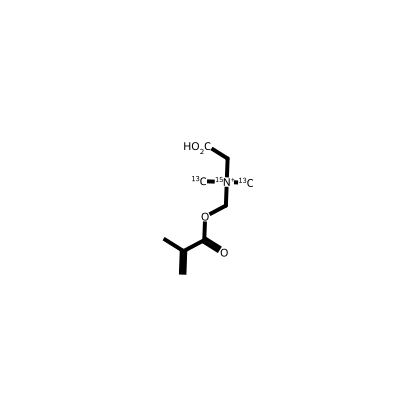 C=C(C)C(=O)OC[15N+]([13CH3])([13CH3])CC(=O)O